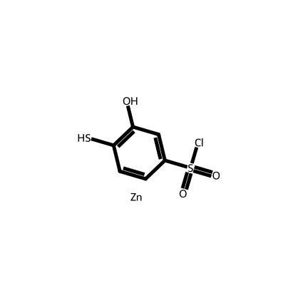 O=S(=O)(Cl)c1ccc(S)c(O)c1.[Zn]